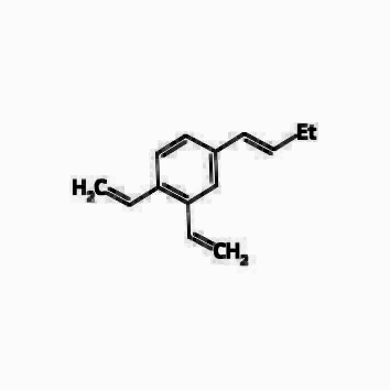 C=Cc1ccc(C=CCC)cc1C=C